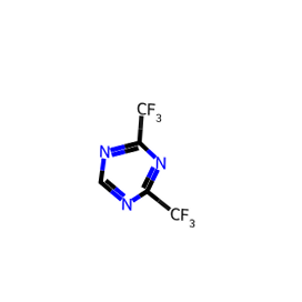 FC(F)(F)c1ncnc(C(F)(F)F)n1